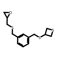 c1cc(CSCC2CO2)cc(CSC2CSC2)c1